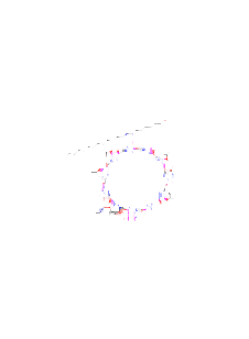 C/C=C/C[C@@H](C)[C@@H](O)[C@H]1C(=O)N[C@@H](CC)C(=O)N(C)CC(=O)N(C)[C@@H](CC(C)C)C(=O)N[C@@H](C(C)C)C(=O)N(C)[C@@H](CC(C)C)C(=O)N[C@@H](C)C(=O)N[C@H](C)C(=O)N(C)[C@@H](CC(C)C)C(=O)N(C)[C@@H](CC(C)C)C(=O)N(C)[C@@H](C(C)C)C(=O)N1C.CCCCCCCCCCCCCCCCCCCCCCO